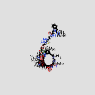 CNN(C)Cc1cc2ccccc2n1CCC(=O)NCCNC(=S)NCCOCCOCCC(=O)N(C)C(C)C(=O)O[C@]1(OC(=O)[C@H](C)N(C)C(C)=O)CC(=O)N(C)c2cc(cc(OC)c2Cl)C/C(C)=C/C=C/C(OC)[C@@]2(O)C[C@H](OC(=O)N2)[C@@H](C)[C@@H]2O[C@]21C